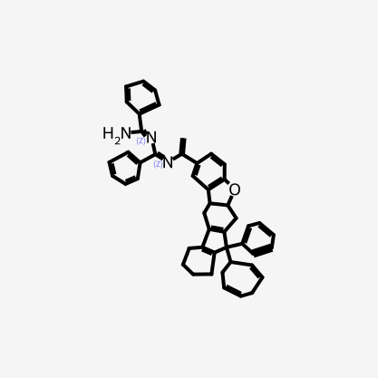 C=C(/N=C(\N=C(/N)c1ccccc1)c1ccccc1)c1ccc2c(c1)C1CC3=C(CC1O2)C(c1c#cccc1)(C1C=CCC=CC1)C1=C3CCCC1